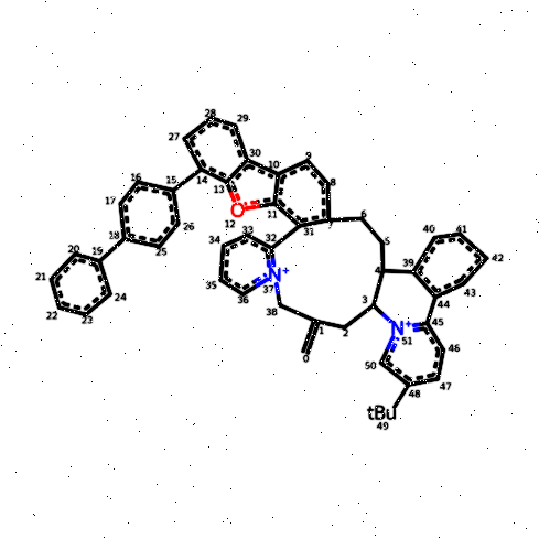 C=C1CC2C(CCc3ccc4c(oc5c(-c6ccc(-c7ccccc7)cc6)cccc54)c3-c3cccc[n+]3C1)c1ccccc1-c1ccc(C(C)(C)C)c[n+]12